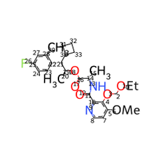 CCOCOc1c(OC)ccnc1C(=O)N[C@@H](C)C(=O)O[C@@H](C)[C@H](c1ccc(F)cc1C)C1CCC1